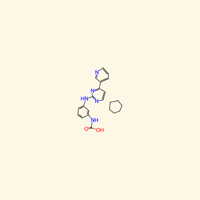 C1CCCCC1.O=C(O)Nc1cccc(Nc2nccc(-c3cccnc3)n2)c1